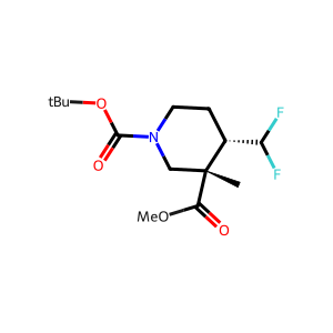 COC(=O)[C@]1(C)CN(C(=O)OC(C)(C)C)CC[C@@H]1C(F)F